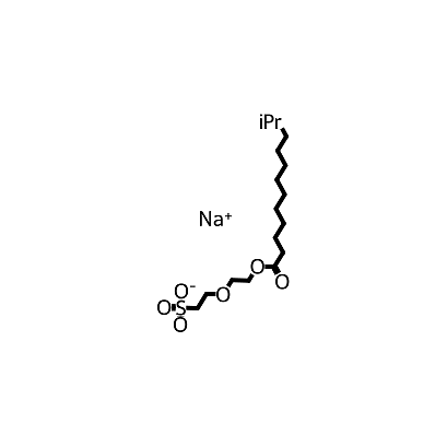 CC(C)CCCCCCCCCC(=O)OCCOCCS(=O)(=O)[O-].[Na+]